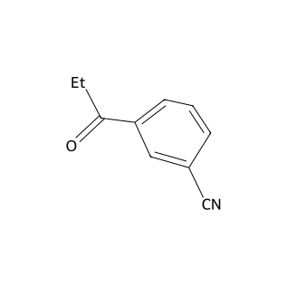 CCC(=O)c1cccc(C#N)c1